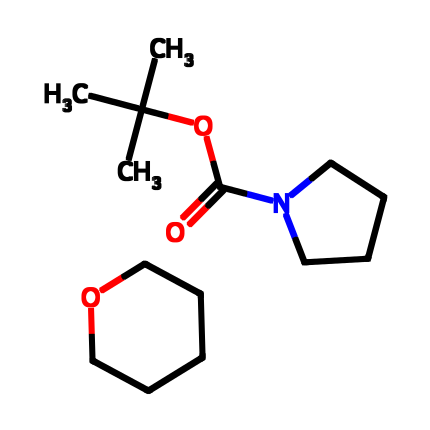 C1CCOCC1.CC(C)(C)OC(=O)N1CCCC1